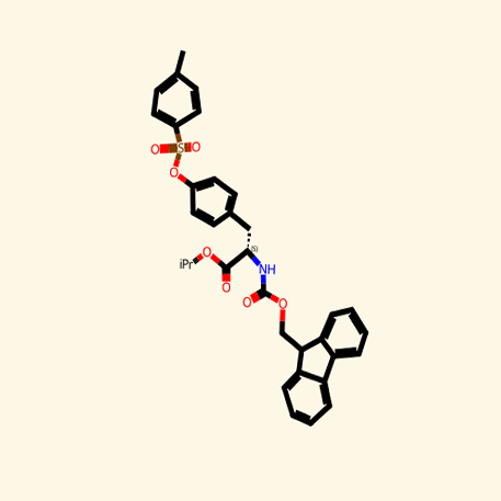 Cc1ccc(S(=O)(=O)Oc2ccc(C[C@H](NC(=O)OCC3c4ccccc4-c4ccccc43)C(=O)OC(C)C)cc2)cc1